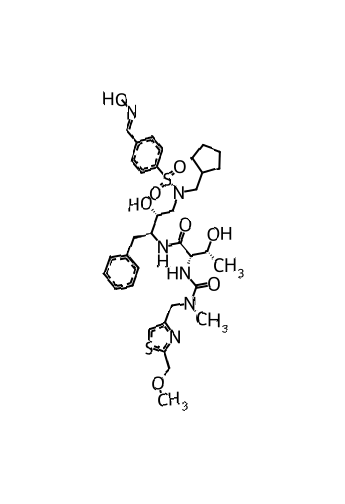 COCc1nc(CN(C)C(=O)N[C@H](C(=O)N[C@@H](Cc2ccccc2)[C@H](O)CN(CC2CCCC2)S(=O)(=O)c2ccc(C=NO)cc2)[C@@H](C)O)cs1